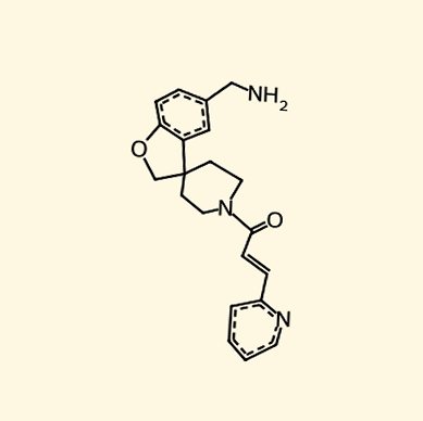 NCc1ccc2c(c1)C1(CCN(C(=O)C=Cc3ccccn3)CC1)CO2